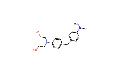 CN(C)c1ccc(Cc2ccc(N(CCO)CCO)cc2)cc1